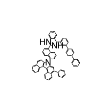 c1ccc(-c2ccc(-c3cccc(C4NC(c5cccc6c(-n7c8ccc9ccccc9c8c8c9ccccc9c(-c9ccccc9)cc87)cccc56)Nc5ccccc54)c3)cc2)cc1